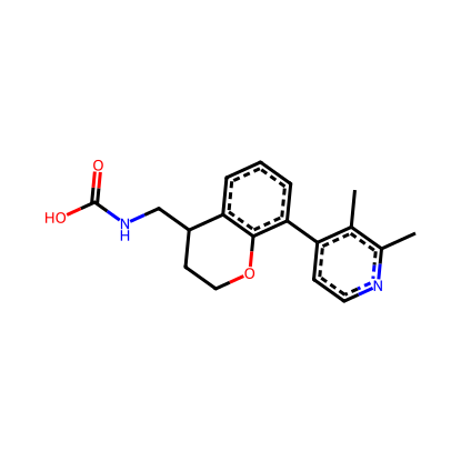 Cc1nccc(-c2cccc3c2OCCC3CNC(=O)O)c1C